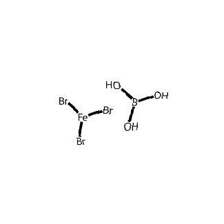 OB(O)O.[Br][Fe]([Br])[Br]